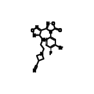 N#CC1CN(CCNc2nonc2-c2noc(=O)n2-c2ccc(F)c(Br)c2)C1